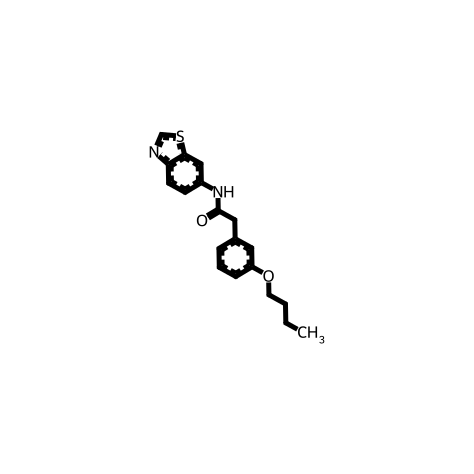 CCCCOc1cccc(CC(=O)Nc2ccc3ncsc3c2)c1